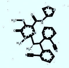 COc1c(C(=O)Nc2cnoc2)nc([C@@H](C)C(c2ccccc2C#N)c2ccccc2C#N)n(C)c1=O